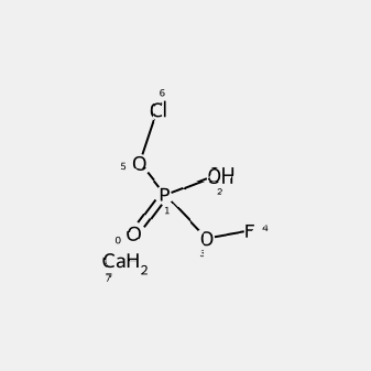 O=P(O)(OF)OCl.[CaH2]